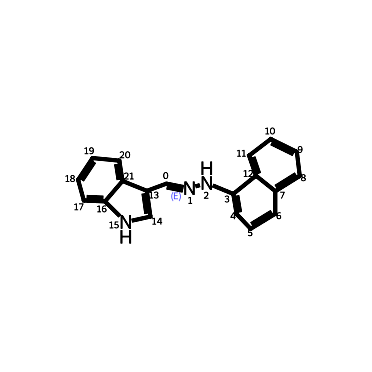 C(=N\Nc1cccc2ccccc12)/c1c[nH]c2ccccc12